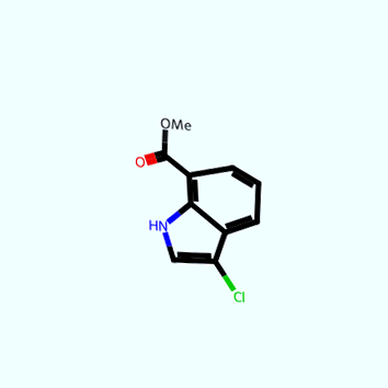 COC(=O)c1cccc2c(Cl)c[nH]c12